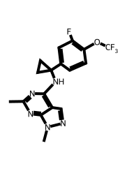 Cc1nc(NC2(c3ccc(OC(F)(F)F)c(F)c3)CC2)c2cnn(C)c2n1